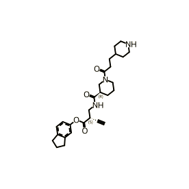 C#C[C@@H](CNC(=O)[C@@H]1CCCN(C(=O)CCC2CCNCC2)C1)C(=O)Oc1ccc2c(c1)CCC2